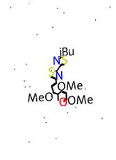 CCC(C)c1nc(-c2nc(/C=C/C(OC)C(C)/C(=C\C(=O)OC)OC)cs2)cs1